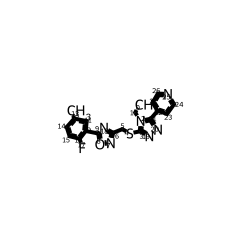 CCn1c(SCc2noc(-c3cc(C)ccc3F)n2)nnc1-c1ccncc1